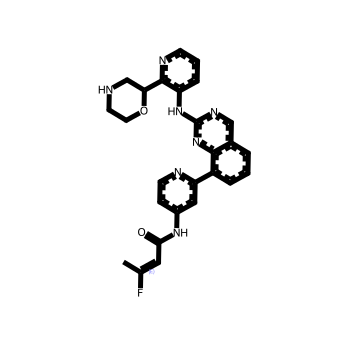 C/C(F)=C\C(=O)Nc1ccnc(-c2cccc3cnc(Nc4cccnc4C4CNCCO4)nc23)c1